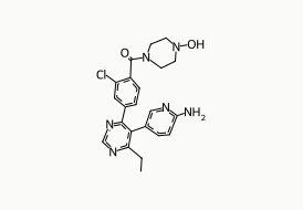 CCc1ncnc(-c2ccc(C(=O)N3CCN(O)CC3)c(Cl)c2)c1-c1ccc(N)nc1